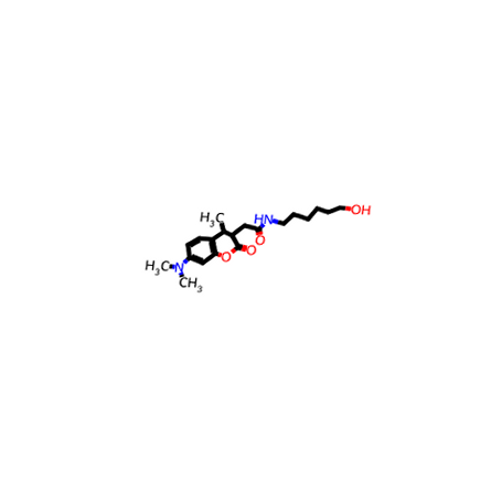 CC1c2ccc(N(C)C)cc2OC(=O)C1CC(=O)NCCCCCCO